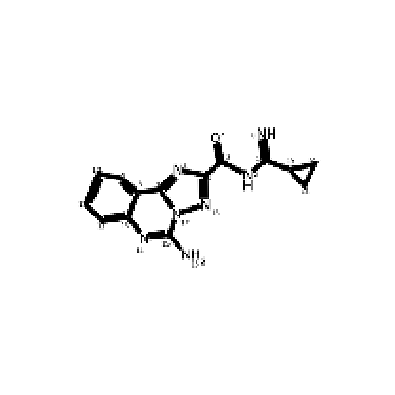 N=C(NC(=O)c1nc2c3ccccc3nc(N)n2n1)C1CC1